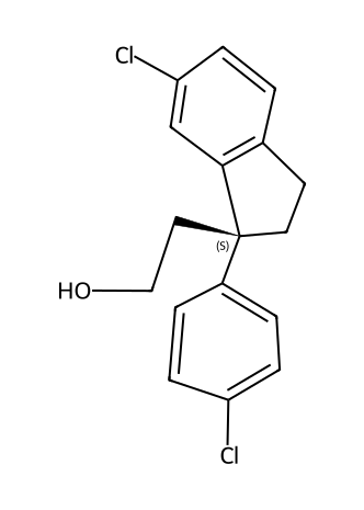 OCC[C@]1(c2ccc(Cl)cc2)CCc2ccc(Cl)cc21